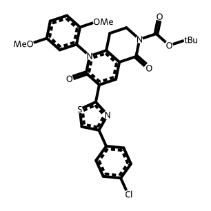 COc1ccc(OC)c(-n2c3c(cc(-c4nc(-c5ccc(Cl)cc5)cs4)c2=O)C(=O)N(C(=O)OC(C)(C)C)CC3)c1